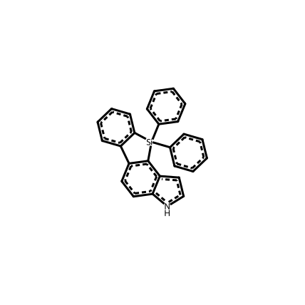 c1ccc([Si]2(c3ccccc3)c3ccccc3-c3ccc4[nH]ccc4c32)cc1